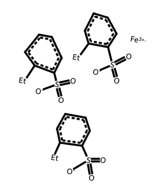 CCc1ccccc1S(=O)(=O)[O-].CCc1ccccc1S(=O)(=O)[O-].CCc1ccccc1S(=O)(=O)[O-].[Fe+3]